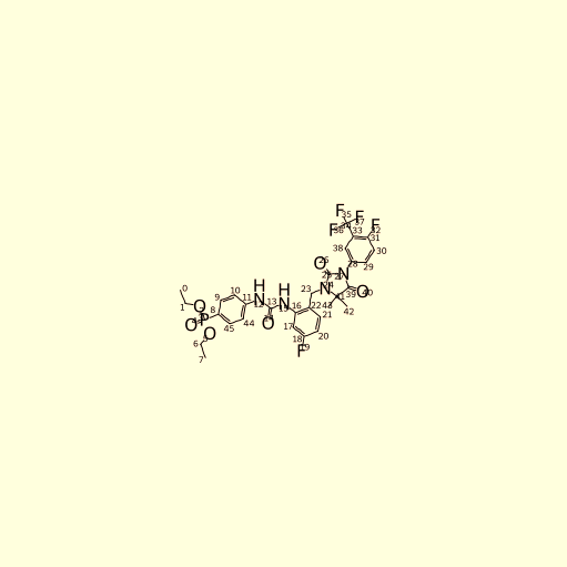 CCOP(=O)(OCC)c1ccc(NC(=O)Nc2cc(F)ccc2CN2C(=O)N(c3ccc(F)c(C(F)(F)F)c3)C(=O)C2(C)C)cc1